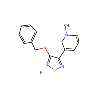 CN1C=CC=C(c2nsnc2OCc2ccccc2)C1.I